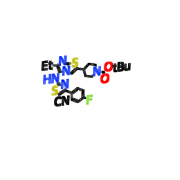 CCc1nc2sc(C3CCN(C(=O)OC(C)(C)C)CC3)cn2c1Nc1nc(-c2ccc(F)cc2)c(C#N)s1